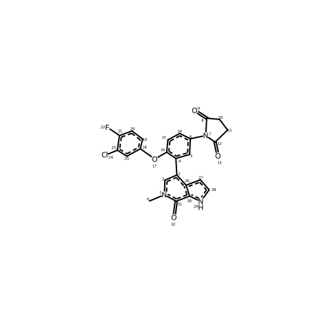 Cn1cc(-c2cc(N3C(=O)CCC3=O)ccc2Oc2ccc(F)c(Cl)c2)c2cc[nH]c2c1=O